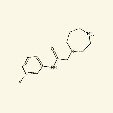 O=C(CN1CCCNCC1)Nc1cccc(F)c1